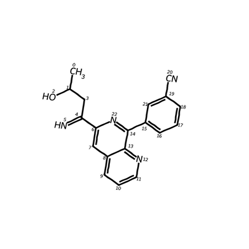 CC(O)CC(=N)c1cc2cccnc2c(-c2cccc(C#N)c2)n1